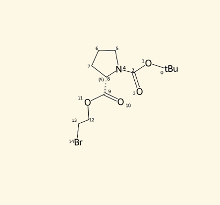 CC(C)(C)OC(=O)N1CCC[C@H]1C(=O)OCCBr